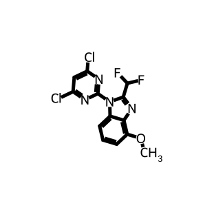 COc1cccc2c1nc(C(F)F)n2-c1nc(Cl)cc(Cl)n1